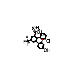 COc1ccc(Cl)cc1-c1c(/C(N)=N/O)cc(C(F)(F)F)cc1-c1ccc(O)cc1F